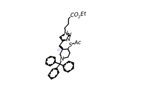 CCOC(=O)CCCn1cc(/C=C2/CN(C(c3ccccc3)(c3ccccc3)c3ccccc3)CCC2SC(C)=O)nn1